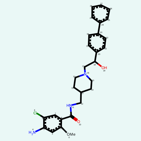 COc1cc(N)c(Cl)cc1C(=O)NCC1CCN(CC(O)c2ccc(-c3ccccc3)cc2)CC1